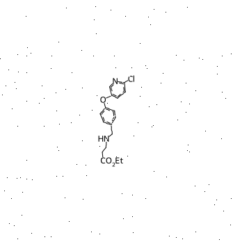 CCOC(=O)CCNCc1ccc(Oc2ccc(Cl)nc2)cc1